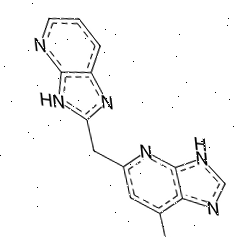 Clc1cc(Cc2nc3cccnc3[nH]2)nc2[nH]cnc12